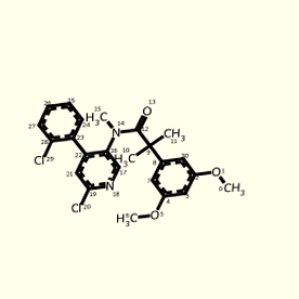 COc1cc(OC)cc(C(C)(C)C(=O)N(C)c2cnc(Cl)cc2-c2ccccc2Cl)c1